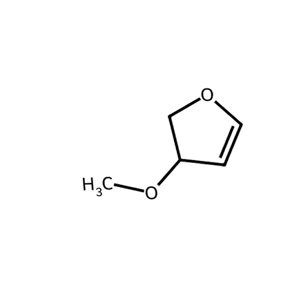 COC1C=COC1